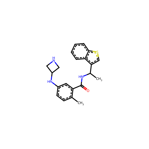 Cc1ccc(NC2CNC2)cc1C(=O)NC(C)c1csc2ccccc12